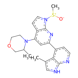 Cc1c[nH]c2nccc(-c3cc(N4CCOCC4C)c4ccn([S+](C)[O-])c4n3)c12